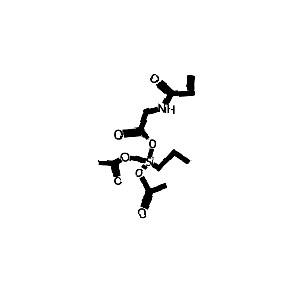 C=CC(=O)NCC(=O)O[Si](CCC)(OC(C)=O)OC(C)=O